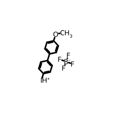 COc1ccc(-c2ccc([IH+])cc2)cc1.F[B-](F)(F)F